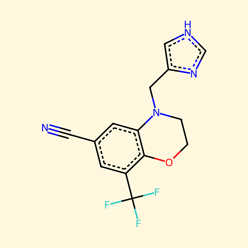 N#Cc1cc2c(c(C(F)(F)F)c1)OCCN2Cc1c[nH]cn1